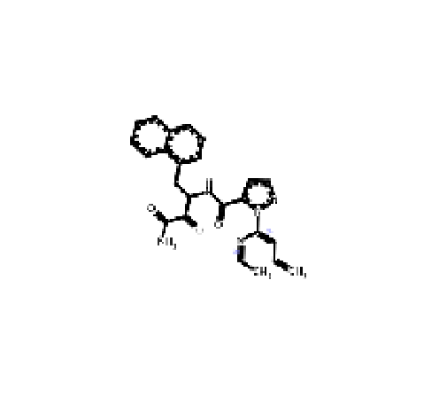 C=C/C=C(\N=C/C)n1nccc1C(=O)NC(Cc1cccc2ccccc12)C(=O)C(N)=O